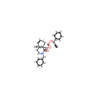 C#CC(OC(=O)[C@H]1CC=C[C@H]2CCN(Cc3ccccc3)C(=O)[C@@H]12)c1ccccc1